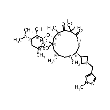 CO[C@]1(C)C[C@@H](C)CN(C)[C@H](C2CN(Cc3cnn(C)c3)C2)COC(=O)C(C)(C)C(=O)[C@H](C)[C@H]1O[C@@H]1O[C@H](C)C[C@H](N(C)C)[C@H]1O